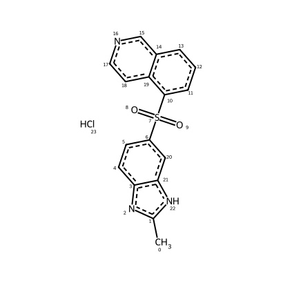 Cc1nc2ccc(S(=O)(=O)c3cccc4cnccc34)cc2[nH]1.Cl